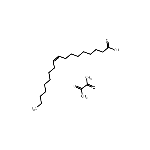 CC(=O)C(C)=O.CCCCCCCC/C=C\CCCCCCCC(=O)O